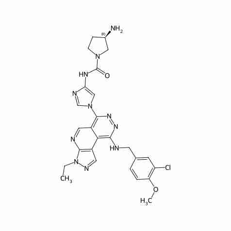 CCn1ncc2c3c(NCc4ccc(OC)c(Cl)c4)nnc(-n4cnc(NC(=O)N5CC[C@@H](N)C5)c4)c3cnc21